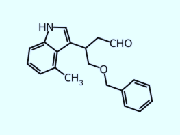 Cc1cccc2[nH]cc(C(CC=O)COCc3ccccc3)c12